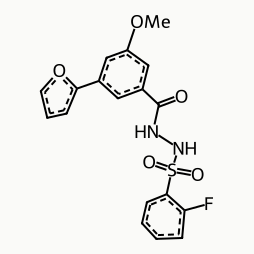 COc1cc(C(=O)NNS(=O)(=O)c2ccccc2F)cc(-c2ccco2)c1